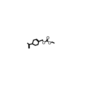 C=C(C)C1CC=C(COC(=O)OCC)CC1